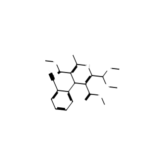 COC(=O)C1=C(C)NC(C(OC)OC)=C(C(=O)OC)C1c1ccccc1C#N